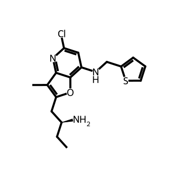 CC[C@H](N)Cc1oc2c(NCc3cccs3)cc(Cl)nc2c1C